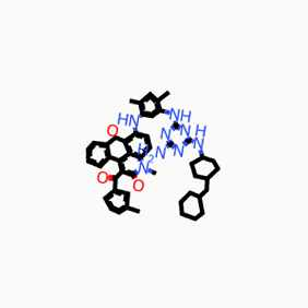 Cc1cccc(C(=O)c2c3c4c(c(Nc5cc(Nc6nc(N)nc(NC7CCC(CC8CCCCC8)CC7)n6)c(C)cc5C)ccc4n(C)c2=O)C(=O)c2ccccc2-3)c1